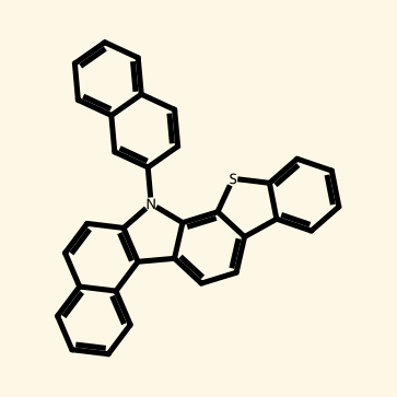 c1ccc2cc(-n3c4ccc5ccccc5c4c4ccc5c6ccccc6sc5c43)ccc2c1